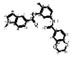 Cc1ccc(NC(=O)c2ccc3c(c2)OCCO3)cc1NC(=O)c1ccc2c(ccn2C)c1